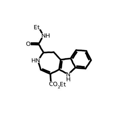 CCNC(=O)C1Cc2c([nH]c3ccccc23)C(C(=O)OCC)=CN1